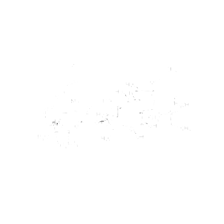 CCO[C@@H]1CC(O[Si](CC)(CC)CC)[C@]2(C)[C@@H]([C@H]1C)[C@H](C)[C@]1(O)C[C@H](OC(=O)[C@H](O[Si](C)(C)C(C)(C)C)[C@@H](NC(=O)c3ccccc3)c3ccccc3)C(C)=C([C@H](O)[C@@H]2O)C1(C)C